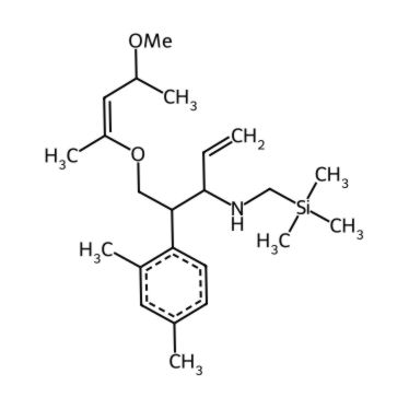 C=CC(NC[Si](C)(C)C)C(CO/C(C)=C\C(C)OC)c1ccc(C)cc1C